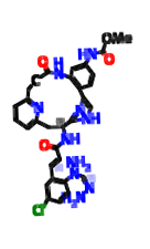 COC(=O)Nc1ccc2c(c1)NC(=O)CCc1cccc(n1)C[C@H](NC(=O)/C=C/c1cc(Cl)ccc1N(N)/C=N\N)c1nc-2c[nH]1